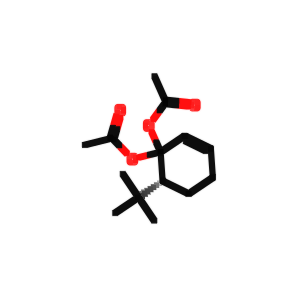 CC(=O)OC1(OC(C)=O)C=CCC[C@@H]1C(C)(C)C